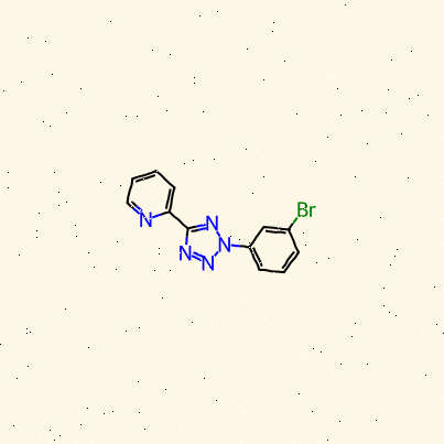 Brc1cccc(-n2nnc(-c3ccccn3)n2)c1